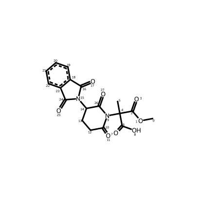 COC(=O)C(C)(C(=O)O)N1C(=O)CCC(N2C(=O)c3ccccc3C2=O)C1=O